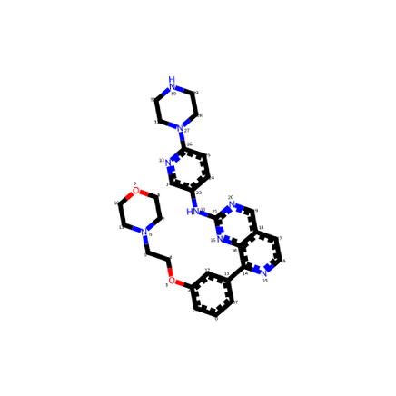 c1cc(OCCN2CCOCC2)cc(-c2nccc3cnc(Nc4ccc(N5CCNCC5)nc4)nc23)c1